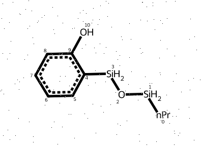 CCC[SiH2]O[SiH2]c1ccccc1O